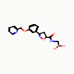 O=C(NCB(O)O)C1CC(c2cccc(OCc3ccccn3)c2)=NO1